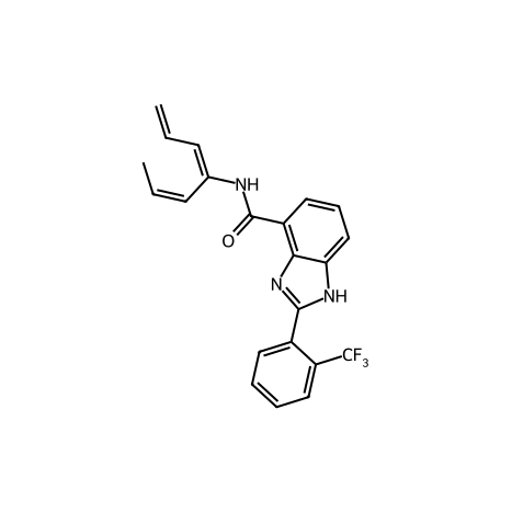 C=C/C=C(\C=C/C)NC(=O)c1cccc2[nH]c(-c3ccccc3C(F)(F)F)nc12